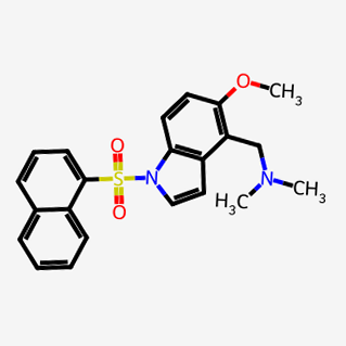 COc1ccc2c(ccn2S(=O)(=O)c2cccc3ccccc23)c1CN(C)C